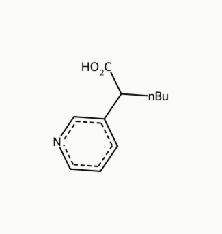 CCCCC(C(=O)O)c1cccnc1